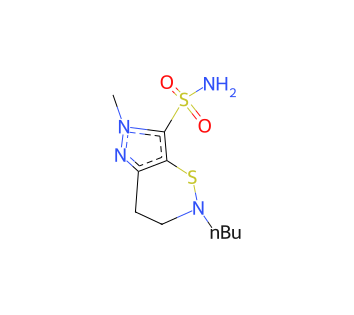 CCCCN1CCc2nn(C)c(S(N)(=O)=O)c2S1